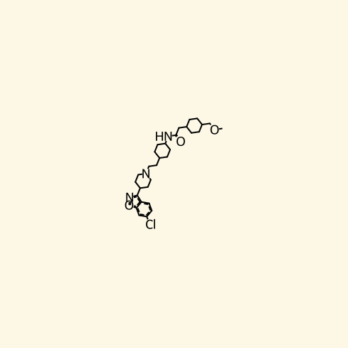 COCC1CCC(CC(=O)NC2CCC(CCN3CCC(c4noc5cc(Cl)ccc45)CC3)CC2)CC1